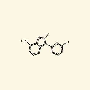 Cc1nc2c([N+](=O)[O-])cccc2n1-c1cncc(Cl)n1